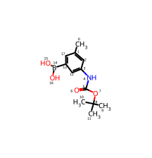 Cc1cc(NC(=O)OC(C)(C)C)cc(B(O)O)c1